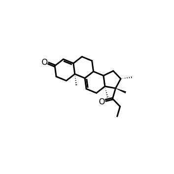 CCC(=O)[C@@]1(C)[C@@H](C)CC2C3CCC4=CC(=O)CC[C@]4(C)C3=CC[C@@]21C